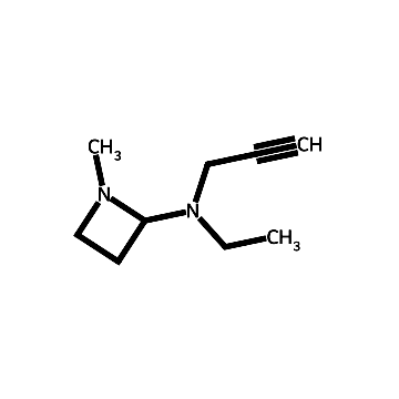 C#CCN(CC)C1CCN1C